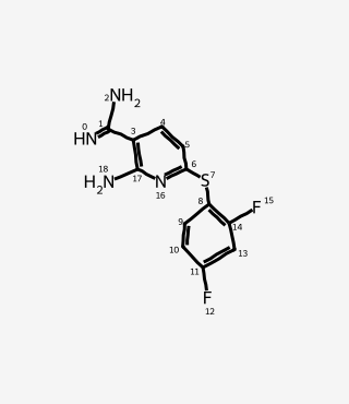 N=C(N)c1ccc(Sc2ccc(F)cc2F)nc1N